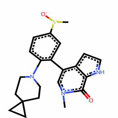 Cn1cc(-c2cc([S+](C)[O-])ccc2N2CCC3(CC2)CC3)c2cc[nH]c2c1=O